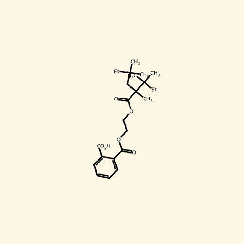 CCC(C)(C)CC(C)(C(=O)OCCOC(=O)c1ccccc1C(=O)O)C(C)(C)CC